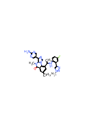 Cc1cc(C(C)Nc2ccc(F)cc2-c2cn(C)nn2)c2c(c1)c(=O)n(C)c1c(-c3cnc(N)nc3)ncn21